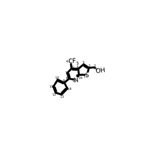 OCc1cc2c(C(F)(F)F)cc(-c3ccccc3)nc2s1